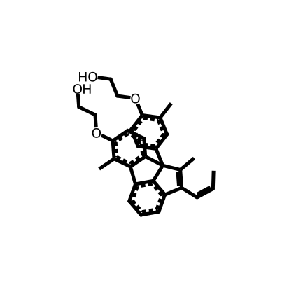 C/C=C\C1=C(C)C2(c3ccc(OCCO)c(C)c3)c3ccc(OCCO)c(C)c3-c3cccc1c32